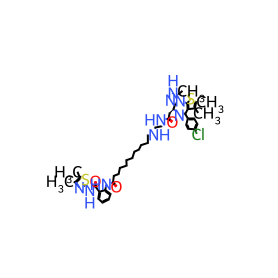 Cc1nc(NC(=O)c2ccccc2NC(=O)CCCCCCCCCCCNCCNC(=O)C[C@@H]2N=C(c3ccc(Cl)cc3)c3c(sc(C)c3C)N3C2=NNC3C)sc1C